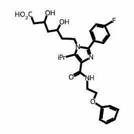 CC(C)c1c(C(=O)NCCOc2ccccc2)nc(-c2ccc(F)cc2)n1CCC(O)CC(O)CC(=O)O